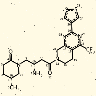 C[C@@H]1CCC(=O)N(C[C@@H](N)CC(=O)N2CCc3c(nc(-c4ccsc4)nc3C(F)(F)F)C2)C1